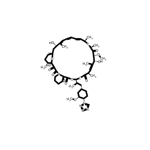 CO[C@@H]1C[C@H](CC(C)[C@@H]2CC(=O)[C@H](C)/C=C(\C)[C@@H](O)[C@@H](OC)C(=O)[C@H](C)C[C@H](C)/C=C/C=C/C=C(\C)[C@@H](O)C[C@@H]3CC[C@@H](C)[C@@](O)(O3)C(=O)C(=O)N3CCCC[C@H]3C(=O)O2)CC[C@@H]1n1cnnn1